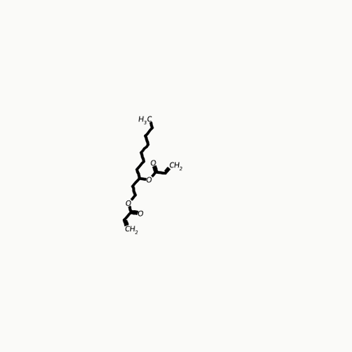 C=CC(=O)OCCC(CCCCCCC)OC(=O)C=C